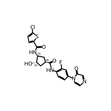 O=C(N[C@H]1C[C@@H](C(=O)Nc2ccc(-n3ccncc3=O)cc2F)C[C@@H]1O)c1ccc(Cl)s1